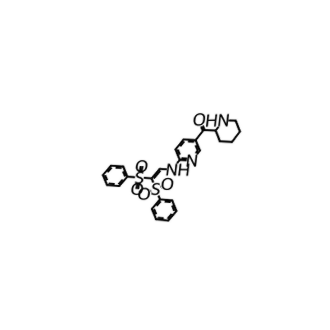 O=C(c1ccc(NC=C(S(=O)(=O)c2ccccc2)S(=O)(=O)c2ccccc2)nc1)C1CCCCN1